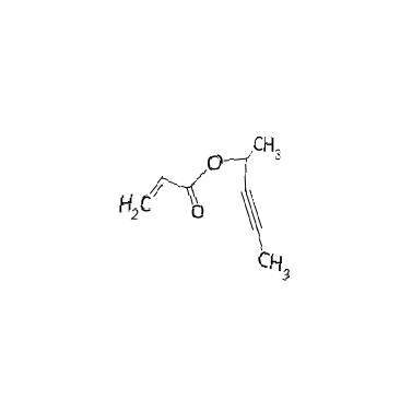 C=CC(=O)OC(C)C#CC